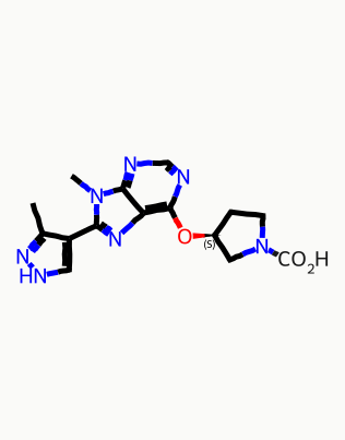 Cc1n[nH]cc1-c1nc2c(O[C@H]3CCN(C(=O)O)C3)ncnc2n1C